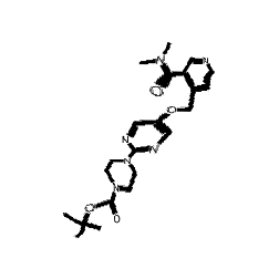 CN(C)C(=O)c1cnccc1COc1cnc(N2CCN(C(=O)OC(C)(C)C)CC2)nc1